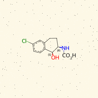 O=C(O)N[C@@H]1CCc2cc(Cl)ccc2[C@@H]1O